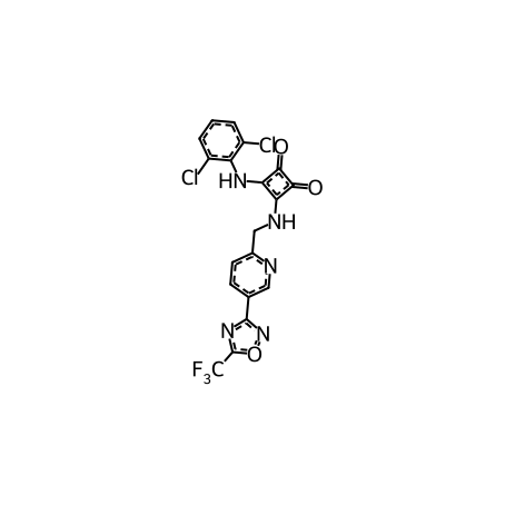 O=c1c(NCc2ccc(-c3noc(C(F)(F)F)n3)cn2)c(Nc2c(Cl)cccc2Cl)c1=O